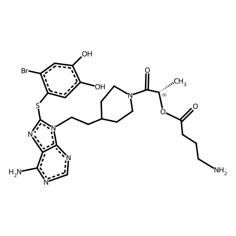 C[C@H](OC(=O)CCCN)C(=O)N1CCC(CCn2c(Sc3cc(O)c(O)cc3Br)nc3c(N)ncnc32)CC1